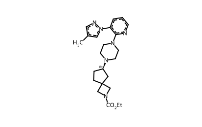 CCOC(=O)N1CC2(CC[C@@H](N3CCN(c4ncccc4-n4cc(C)cn4)CC3)C2)C1